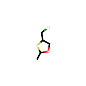 C[C]1OCC(CCl)S1